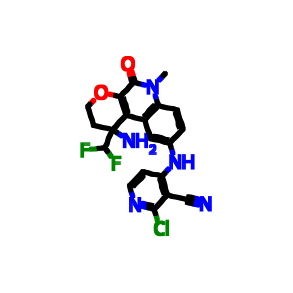 Cn1c(=O)c2c(c3cc(Nc4ccnc(Cl)c4C#N)ccc31)C(N)(C(F)F)CCO2